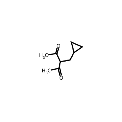 CC(=O)C(CC1CC1)C(C)=O